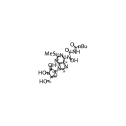 CCCCC(=O)NC(=O)N(O)c1nc(SC)nc2c1ncn2[C@@H]1O[C@H](CO)[C@@H](O)[C@H]1O